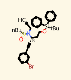 C#CCN([C@@H](C#Cc1cccc(Br)c1)CCO[Si](c1ccccc1)(c1ccccc1)C(C)(C)C)[S@+]([O-])CCCC